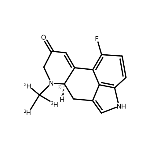 [2H]C([2H])([2H])N1CC(=O)C=C2c3c(F)ccc4[nH]cc(c34)C[C@H]21